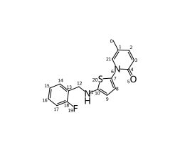 Cc1ccc(=O)n(-c2ccc(NCc3ccccc3F)s2)c1